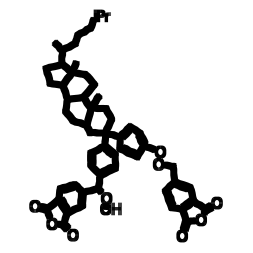 CC(C)CCCC(C)C1CCC2C3CCC4CC(c5ccc(OOCc6ccc7c(c6)C(=O)OC7=O)cc5)(c5ccc(C(OO)c6ccc7c(c6)C(=O)OC7=O)cc5)CCC4(C)C3CCC12C